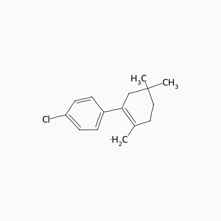 [CH2]C1=C(c2ccc(Cl)cc2)CC(C)(C)CC1